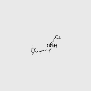 CC1=C(/C=C/C(C)=C/C=C/C(C)=C\C(=O)NCCCc2ccccc2)C(C)(C)CCC1C